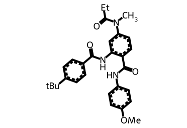 CCC(=O)N(C)c1ccc(C(=O)Nc2ccc(OC)cc2)c(NC(=O)c2ccc(C(C)(C)C)cc2)c1